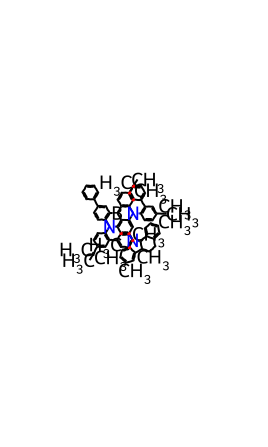 Cc1cc(C)c2c(c1)C1(C)CCc3ccccc3C1(C)N2c1cc2c3c(c1)N(c1ccc(C(C)(C)C)cc1-c1ccccc1)c1cc(C(C)(C)C)ccc1B3c1cc(-c3ccccc3)ccc1N2c1ccc(C(C)(C)C)cc1-c1ccccc1